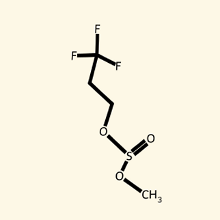 COS(=O)OCCC(F)(F)F